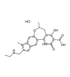 CCNCc1cc2cc3c(cc2n1C)OC(C)Cc1c-3[nH]c(=O)c(C(=O)O)c1O.Cl